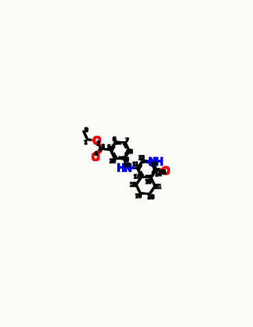 CCOC(=O)c1cccc(Nc2c[nH]c(=O)c3c2CCCC3)c1